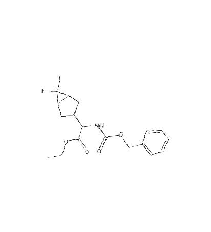 CCOC(=O)C(NC(=O)OCc1ccccc1)C1CC2C(C1)C2(F)F